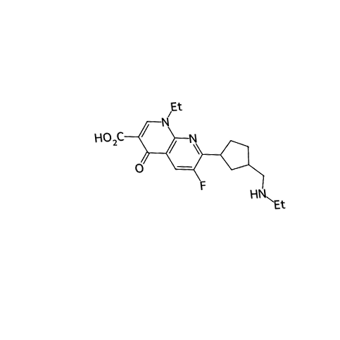 CCNCC1CCC(c2nc3c(cc2F)c(=O)c(C(=O)O)cn3CC)C1